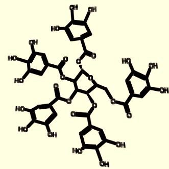 O=C(OCC1O[C@@H](OC(=O)c2cc(O)c(O)c(O)c2)C(OC(=O)c2cc(O)c(O)c(O)c2)C(OC(=O)c2cc(O)c(O)c(O)c2)[C@@H]1OC(=O)c1cc(O)c(O)c(O)c1)c1cc(O)c(O)c(O)c1